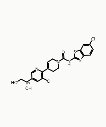 O=C(Nc1nc2ccc(Cl)cc2s1)N1CC=C(c2ncc([C@H](O)CO)cc2Cl)CC1